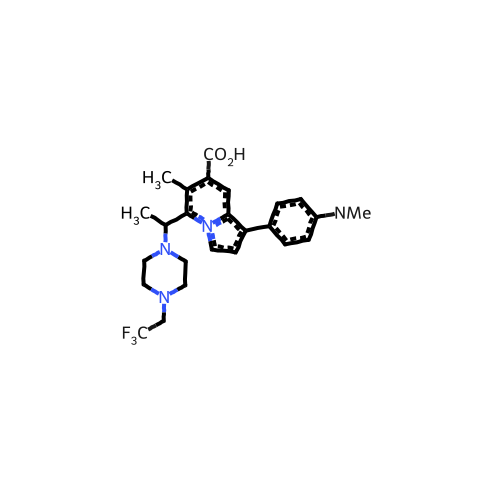 CNc1ccc(-c2ccn3c(C(C)N4CCN(CC(F)(F)F)CC4)c(C)c(C(=O)O)cc23)cc1